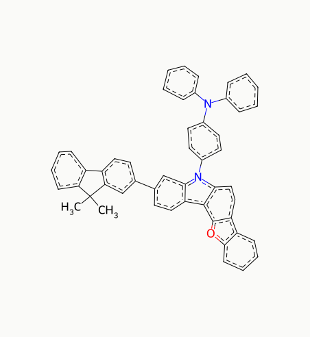 CC1(C)c2ccccc2-c2ccc(-c3ccc4c5c6oc7ccccc7c6ccc5n(-c5ccc(N(c6ccccc6)c6ccccc6)cc5)c4c3)cc21